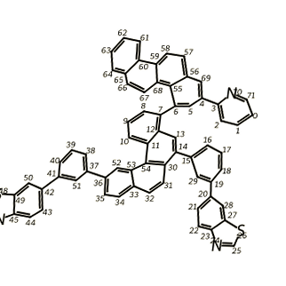 c1ccc(-c2cc(-c3cccc4c3cc(-c3cccc(-c5ccc6ncsc6c5)c3)c3ccc5ccc(-c6cccc(-c7ccc8ncsc8c7)c6)cc5c34)c3c(ccc4c5ccccc5ccc43)c2)nc1